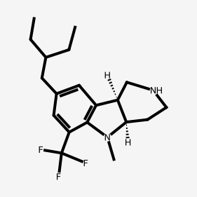 CCC(CC)Cc1cc2c(c(C(F)(F)F)c1)N(C)[C@@H]1CCNC[C@H]21